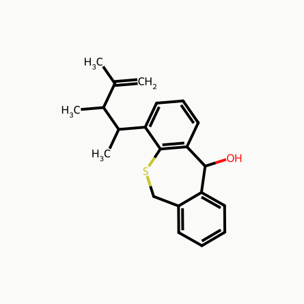 C=C(C)C(C)C(C)c1cccc2c1SCc1ccccc1C2O